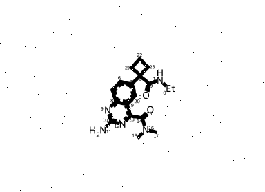 CCNC(=O)C1(c2ccc3nc(N)nc(C(=O)N(C)C)c3c2)CCC1